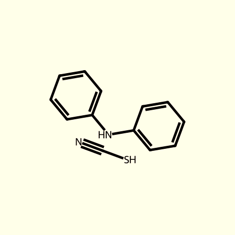 N#CS.c1ccc(Nc2ccccc2)cc1